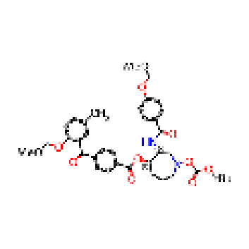 COCOc1ccc(C(=O)N[C@@H]2CN(OC(=O)OC(C)(C)C)CCC[C@H]2OC(=O)c2ccc(C(=O)c3cc(C)ccc3OCOC)cc2)cc1